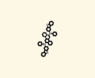 C1=CC2C(N(c3ccccc3)c3ccc4sc5ccccc5c4c3)=Cc3c(cc(N(c4ccccc4)c4ccc5sc6ccccc6c5c4)c4ccccc34)C2C=C1